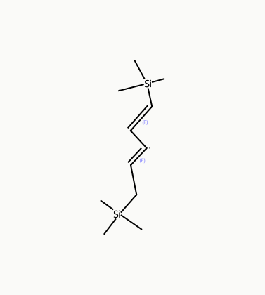 C[Si](C)(C)/C=C/[C]=C/C[Si](C)(C)C